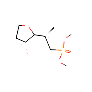 CCOP(=O)(C[C@H](C)C1OCC[C@H]1O)OCC